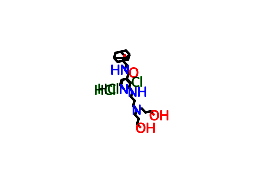 Cl.Cl.O=C(NCC12CC3CC(CC(C3)C1)C2)c1ccnc(NCCCN(CCCO)CCCO)c1Cl